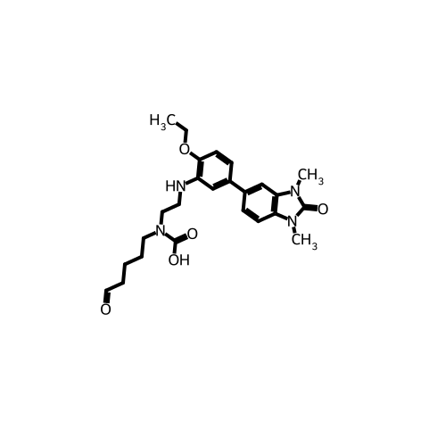 CCOc1ccc(-c2ccc3c(c2)n(C)c(=O)n3C)cc1NCCN(CCCCC=O)C(=O)O